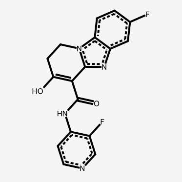 O=C(Nc1ccncc1F)C1=C(O)CCn2c1nc1cc(F)ccc12